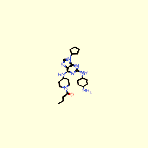 CCCC(=O)N1CCC(Nc2nc(NC3CCC(N)CC3)nc3c2ncn3C2CCCC2)CC1